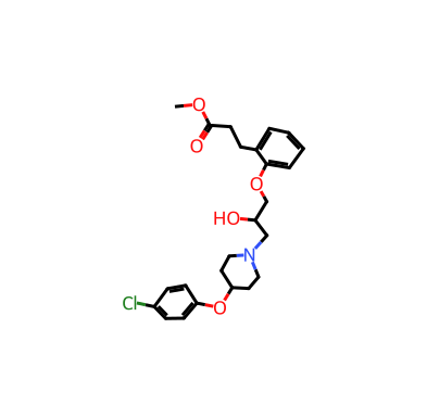 COC(=O)CCc1ccccc1OCC(O)CN1CCC(Oc2ccc(Cl)cc2)CC1